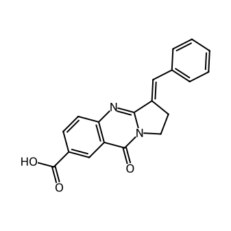 O=C(O)c1ccc2nc3n(c(=O)c2c1)CCC3=Cc1ccccc1